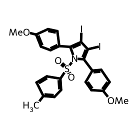 COc1ccc(-c2c(I)c(I)c(-c3ccc(OC)cc3)n2S(=O)(=O)c2ccc(C)cc2)cc1